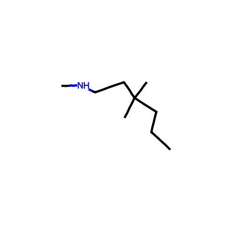 CCCC(C)(C)CCNC